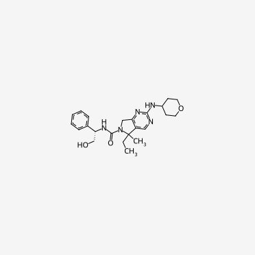 CCC1(C)c2cnc(NC3CCOCC3)nc2CN1C(=O)N[C@H](CO)c1ccccc1